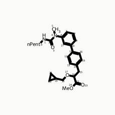 CCCCCNC(=O)N(C)c1cccc(-c2ccc(CC(OCC3CC3)C(=O)OC)cc2)c1